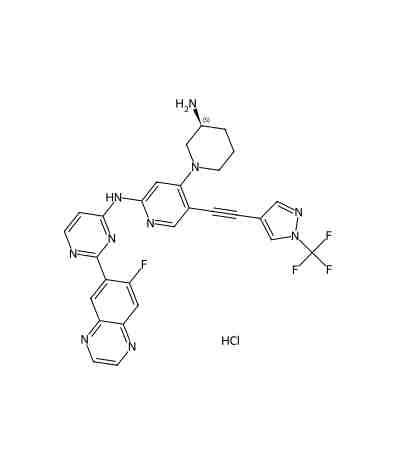 Cl.N[C@H]1CCCN(c2cc(Nc3ccnc(-c4cc5nccnc5cc4F)n3)ncc2C#Cc2cnn(C(F)(F)F)c2)C1